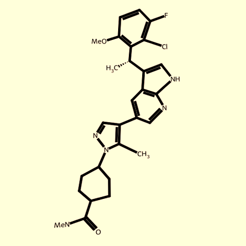 CNC(=O)C1CCC(n2ncc(-c3cnc4[nH]cc([C@H](C)c5c(OC)ccc(F)c5Cl)c4c3)c2C)CC1